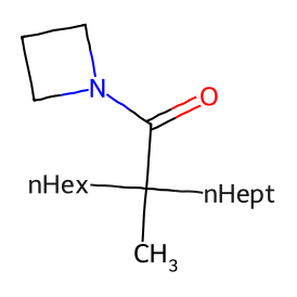 CCCCCCCC(C)(CCCCCC)C(=O)N1CCC1